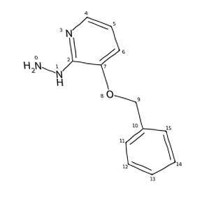 NNc1ncccc1OCc1ccccc1